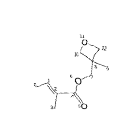 CC=C(C)C(=O)OCC1(C)COC1